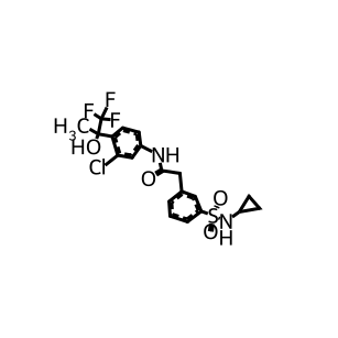 CC(O)(c1ccc(NC(=O)Cc2cccc(S(=O)(=O)NC3CC3)c2)cc1Cl)C(F)(F)F